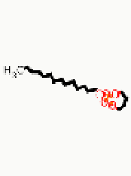 CCCCCCCCCCCCCCOOP1(=O)OCCCCO1